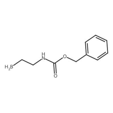 BCCNC(=O)OCc1ccccc1